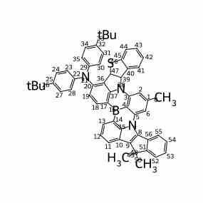 Cc1cc2c3c(c1)-n1c4c(c5cccc(c51)B3c1ccc(N(c3ccc(C(C)(C)C)cc3)c3ccc(C(C)(C)C)cc3)c3c1N2C1c2ccccc2SC31)C(C)(C)c1ccccc1-4